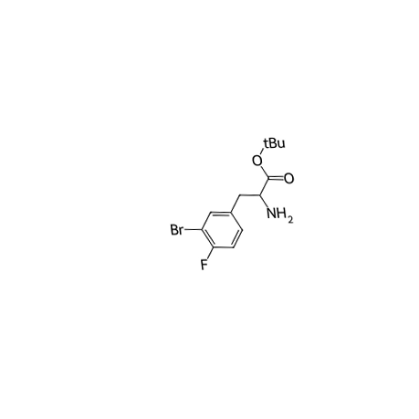 CC(C)(C)OC(=O)C(N)Cc1ccc(F)c(Br)c1